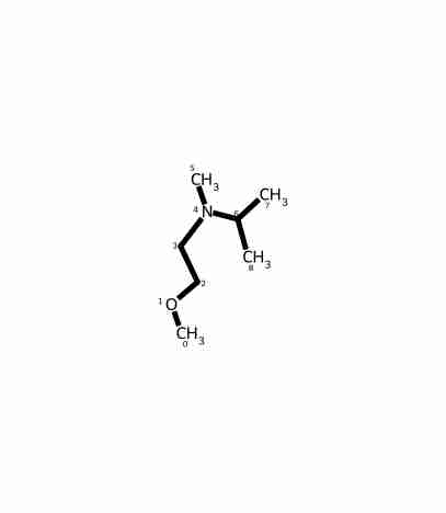 COCCN(C)C(C)C